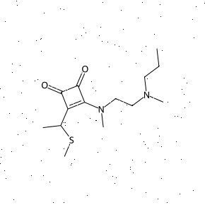 CCCN(C)CCN(C)c1c(C(C)SC)c(=O)c1=O